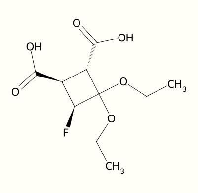 CCOC1(OCC)[C@@H](F)[C@@H](C(=O)O)[C@@H]1C(=O)O